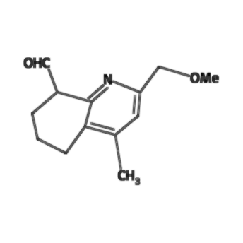 COCc1cc(C)c2c(n1)C(C=O)CCC2